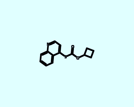 O=C(OC1CCC1)Sc1ccnc2ccccc12